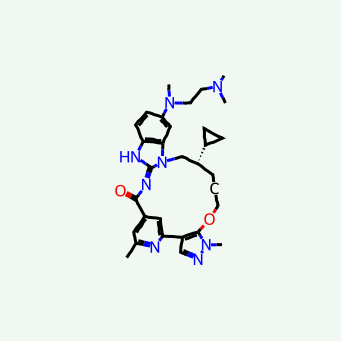 Cc1cc2cc(n1)-c1cnn(C)c1OCCC[C@@H](C1CC1)CN1/C(=N/C2=O)Nc2ccc(N(C)CCN(C)C)cc21